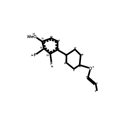 C/C=C/OC1CCC(c2ccc(OC)c(F)c2F)CC1